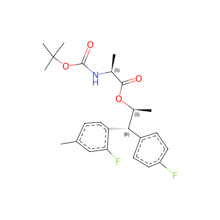 Cc1ccc([C@@H](c2ccc(F)cc2)[C@H](C)OC(=O)[C@H](C)NC(=O)OC(C)(C)C)c(F)c1